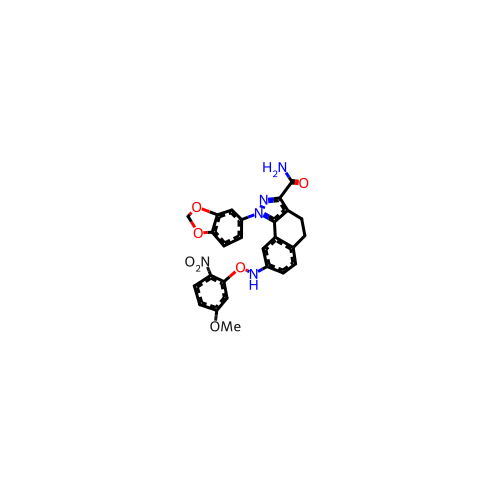 COc1ccc([N+](=O)[O-])c(ONc2ccc3c(c2)-c2c(c(C(N)=O)nn2-c2ccc4c(c2)OCO4)CC3)c1